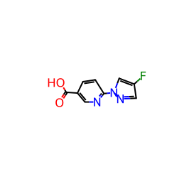 O=C(O)c1ccc(-n2cc(F)cn2)nc1